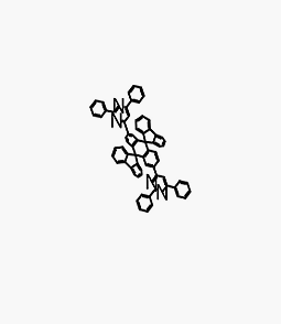 c1ccc(-c2cc(-c3ccc4c(c3)C3(c5ccccc5-c5ccccc53)c3ccc(-c5cc(-c6ccccc6)nc(-c6ccccc6)n5)cc3C43c4ccccc4-c4ccccc43)nc(-c3ccccc3)n2)cc1